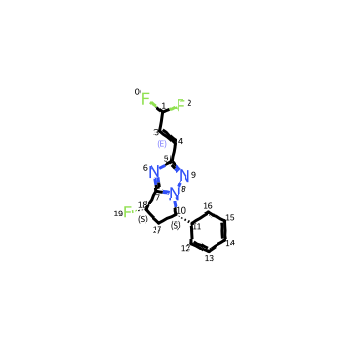 FC(F)/C=C/c1nc2n(n1)[C@H](C1C=CC=CC1)C[C@@H]2F